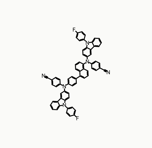 N#Cc1ccc(N(c2ccc(-c3cccc4c(N(c5ccc(C#N)cc5)c5ccc6c(c5)c5ccccc5n6-c5ccc(F)cc5)cccc34)cc2)c2ccc3c(c2)c2ccccc2n3-c2ccc(F)cc2)cc1